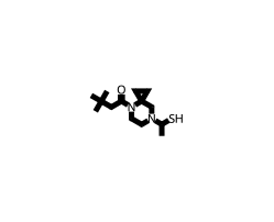 CC(S)N1CCN(C(=O)CC(C)(C)C)C2(CC2)C1